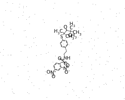 CC(C)(C)C(=O)C(C)(C)Sc1ccc(CCNS(=O)(=O)c2ccc([N+](=O)[O-])cc2[N+](=O)[O-])cc1